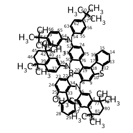 Cc1cc2c(cc1N1c3cc4sc5ccccc5c4c4c3B(c3ccc5oc6ccccc6c5c31)N(c1ccc3c(c1)C(C)(C)CCC3(C)C)c1cc(N(c3ccc(C(C)(C)C)cc3)c3ccc(C(C)(C)C)cc3)ccc1-4)C(C)(C)CCC2(C)C